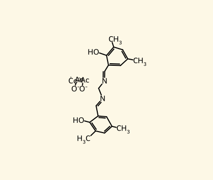 CC(=O)[O-].CC(=O)[O-].Cc1cc(C)c(O)c(C=NCN=Cc2cc(C)cc(C)c2O)c1.[Co+2]